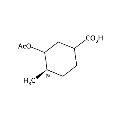 CC(=O)OC1CC(C(=O)O)CC[C@H]1C